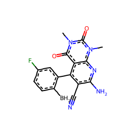 Bc1ccc(F)cc1-c1c(C#N)c(N)nc2c1c(=O)n(C)c(=O)n2C